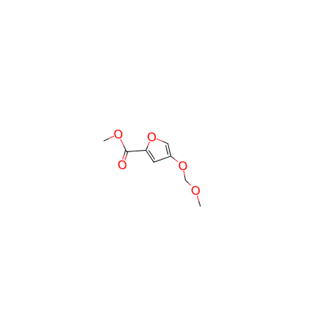 COCOc1coc(C(=O)OC)c1